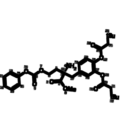 COC(=O)[C@@](N)(CCOC(=O)Oc1ccccc1)Cc1ccc(OC(=O)CC(C)(C)C)c(OC(=O)CC(C)(C)C)c1